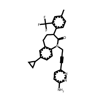 Cc1ccc(C2CCc3cc(C4CC4)ccc3N(CC#Cc3ccc(N)nn3)C2=O)c(C(F)(F)F)c1